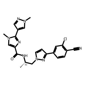 C[C@@H](Cn1ccc(-c2ccc(C#N)c(Cl)c2)n1)NC(=O)c1cn(C)c(-c2cnn(C)c2)n1